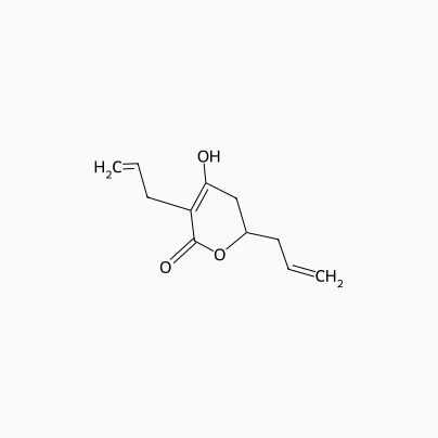 C=CCC1=C(O)CC(CC=C)OC1=O